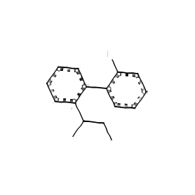 CCC(C)c1ccccc1-c1ccccc1F